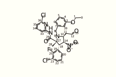 CCOc1cccc(CN2[C@@H](CC=O)[C@@H]([N+](=O)[O-])[C@H](c3cccc(Cl)c3F)[C@]2(C)C(=O)Nc2cccc(Cl)n2)c1